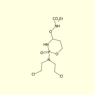 CCOC(=O)NOC1CCOP(=O)(N(CCCl)CCCl)N1